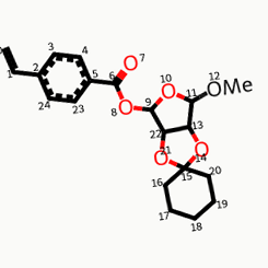 C=Cc1ccc(C(=O)OC2OC(OC)C3OC4(CCCCC4)OC23)cc1